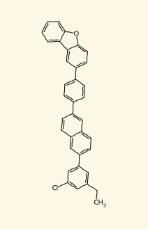 CCc1cc(Cl)cc(-c2ccc3cc(-c4ccc(-c5ccc6oc7ccccc7c6c5)cc4)ccc3c2)c1